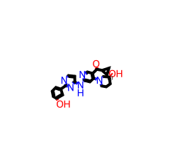 O=C(c1cnc(Nc2ccnc(-c3cccc(O)c3)n2)cc1N1CCC[C@H](O)C1)C1CC1